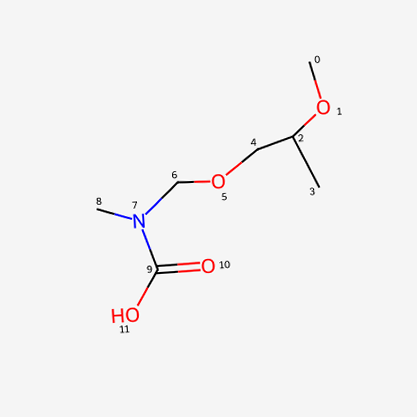 COC(C)COCN(C)C(=O)O